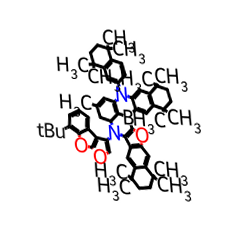 CC1=CC2=C3B(c4cc5c(cc4N2c2ccc4c(c2)C(C)(C)CCC4(C)C)C(C)(C)CCC5(C)C)c2oc4cc5c(cc4c2N(c2coc4oc6c(C(C)(C)C)cccc6c24)C3C1)C(C)(C)CCC5(C)C